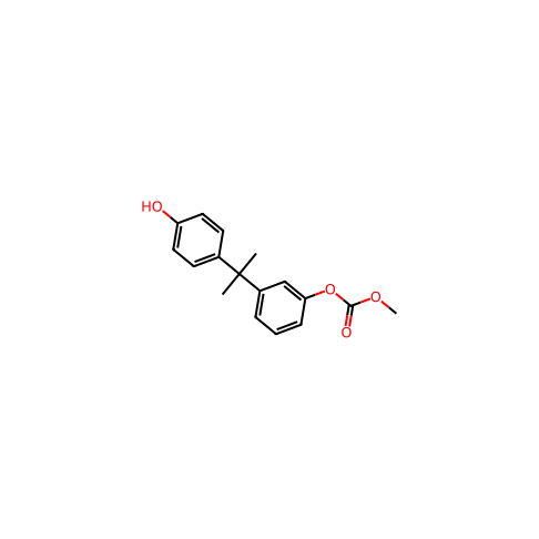 COC(=O)Oc1cccc(C(C)(C)c2ccc(O)cc2)c1